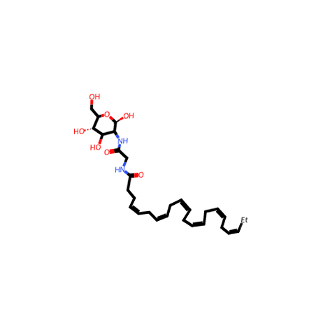 CC/C=C\C/C=C\C/C=C\C/C=C\C/C=C\C/C=C\CCC(=O)NCC(=O)NC1C(O)[C@H](O)C(CO)O[C@H]1O